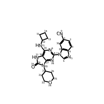 [C-]#[N+]c1ccc2ncn(-c3nc(NC4CCC4)c4[nH]c(=O)n(C5CCOCC5)c4n3)c2c1